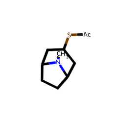 CC(=O)SC1CC2CCC(C1)N2C